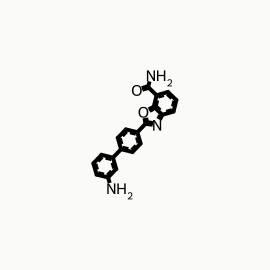 NC(=O)c1cccc2nc(-c3ccc(-c4cccc(N)c4)cc3)oc12